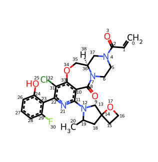 C=CC(=O)N1CCN2C(=O)c3c(N4CC5(CCO5)CC4C)nc(-c4c(O)cccc4F)c(Cl)c3OC[C@H]2C1